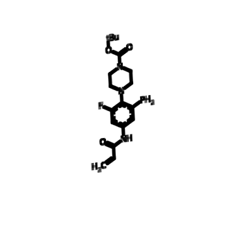 C=CC(=O)Nc1cc(F)c(N2CCN(C(=O)OC(C)(C)C)CC2)c(P)c1